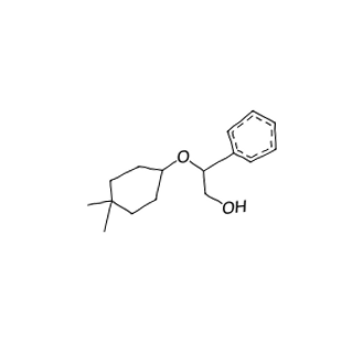 CC1(C)CCC(OC(CO)c2ccccc2)CC1